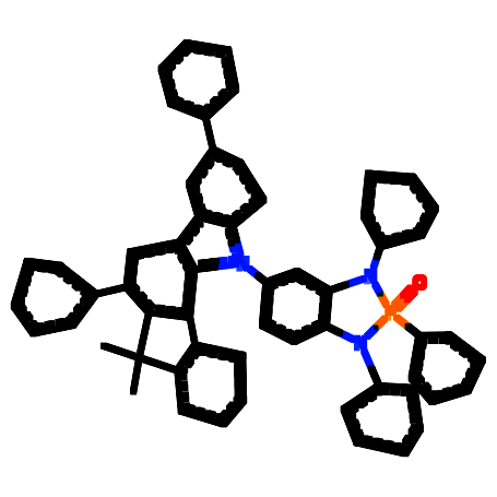 CC1(C)c2ccccc2-c2c1c(-c1ccccc1)cc1c3cc(-c4ccccc4)ccc3n(-c3ccc4c(c3)N(c3ccccc3)P(=O)(c3ccccc3)N4c3ccccc3)c21